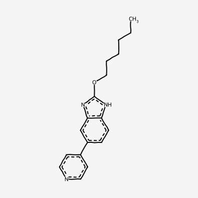 CCCCCCOc1nc2cc(-c3ccncc3)ccc2[nH]1